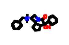 C[N+](C)(Cc1ccccc1)C1CN(C(=O)C(O)(c2ccccc2)C2CCCC2)C1